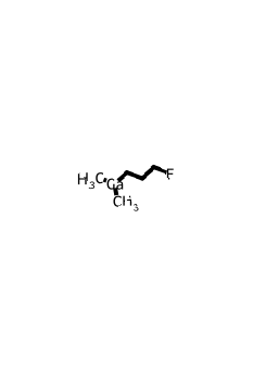 [CH3][Ga]([CH3])[CH2]CCF